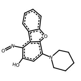 O=Nc1c(O)cc(N2CCCCC2)c2oc3ccccc3c12